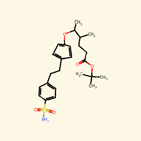 CC(CCC(=O)OC(C)(C)C)C(C)Oc1ccc(CCc2ccc(S(N)(=O)=O)cc2)cc1